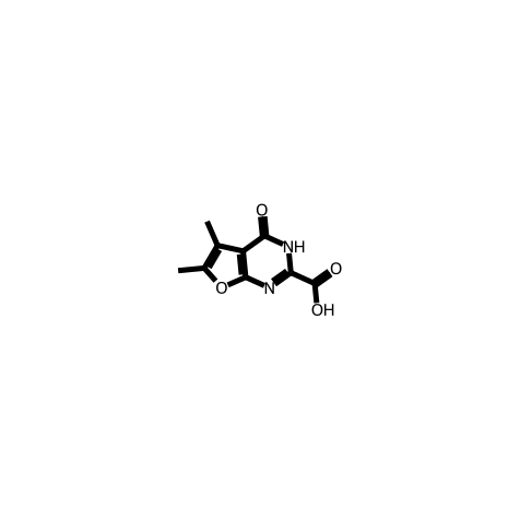 Cc1oc2nc(C(=O)O)[nH]c(=O)c2c1C